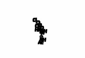 CC(=O)CNC1CC(c2cc(NC(=O)COc3ccc(Cl)cc3Cl)[nH]n2)C1